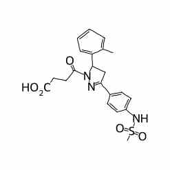 Cc1ccccc1C1CC(c2ccc(NS(C)(=O)=O)cc2)=NN1C(=O)CCC(=O)O